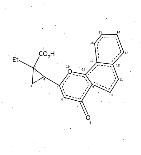 CCC1(C(=O)O)CC1c1cc(=O)c2ccc3ccccc3c2o1